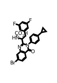 O=C(O)NC(Cc1cc(F)cc(F)c1)c1nc2cc(Br)ccc2c(=O)n1-c1ccc(C2CC2)cc1